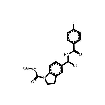 CCC(NC(=O)c1ccc(F)cc1)c1ccc2c(c1)CCN2C(=O)OC(C)(C)C